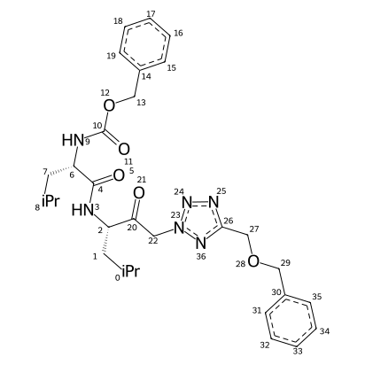 CC(C)C[C@H](NC(=O)[C@H](CC(C)C)NC(=O)OCc1ccccc1)C(=O)Cn1nnc(COCc2ccccc2)n1